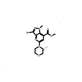 COC(=O)c1cc(N2CCOC[C@H]2C)nc2c(Br)nn(C)c12